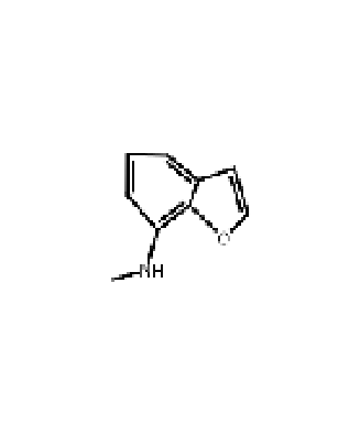 CNc1cccc2ccoc12